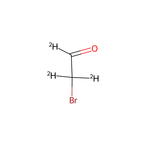 [2H]C(=O)C([2H])([2H])Br